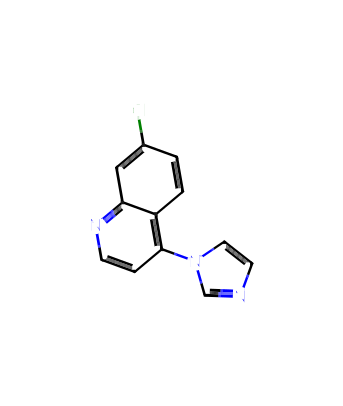 Clc1ccc2c(-n3ccnc3)ccnc2c1